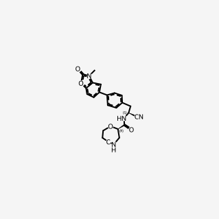 Cn1c(=O)oc2ccc(-c3ccc(C[C@@H](C#N)NC(=O)[C@H]4CNCCCO4)cc3)cc21